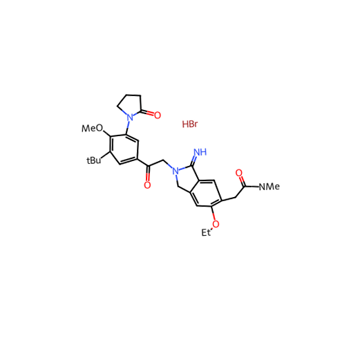 Br.CCOc1cc2c(cc1CC(=O)NC)C(=N)N(CC(=O)c1cc(N3CCCC3=O)c(OC)c(C(C)(C)C)c1)C2